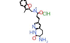 Cc1c(CN(C)C(=O)/C=C/c2cnc3c(c2)CCC(N)C(=O)N3)oc2ccccc12.Cl